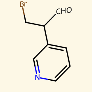 O=CC(CBr)c1cccnc1